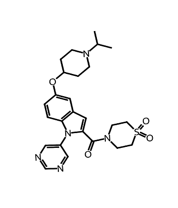 CC(C)N1CCC(Oc2ccc3c(c2)cc(C(=O)N2CCS(=O)(=O)CC2)n3-c2cncnc2)CC1